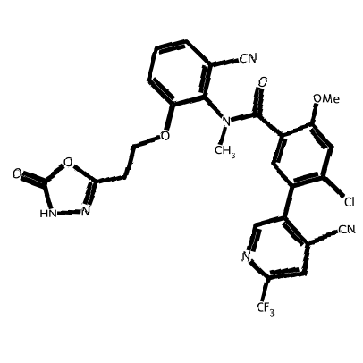 COc1cc(Cl)c(-c2cnc(C(F)(F)F)cc2C#N)cc1C(=O)N(C)c1c(C#N)cccc1OCCc1n[nH]c(=O)o1